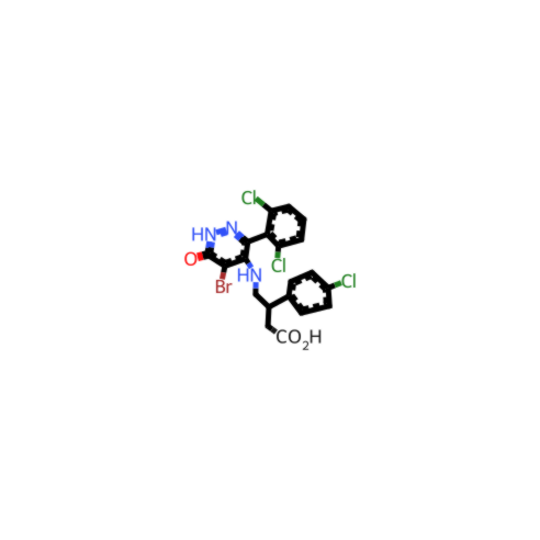 O=C(O)CC(CNc1c(-c2c(Cl)cccc2Cl)n[nH]c(=O)c1Br)c1ccc(Cl)cc1